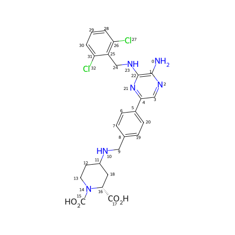 Nc1ncc(-c2ccc(CNC3CCN(C(=O)O)[C@@H](C(=O)O)C3)cc2)nc1NCc1c(Cl)cccc1Cl